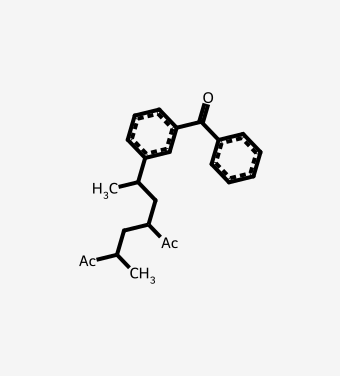 CC(=O)C(C)CC(CC(C)c1cccc(C(=O)c2ccccc2)c1)C(C)=O